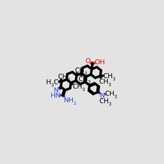 CN(C)c1ccc(C2=C3C4CC(C)(C)CCC4(C(=O)O)CCC3(C)C3(C)CCC4C(C)(C)c5n[nH]c(N)c5CC4(C)C3C2)cc1